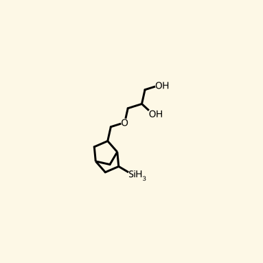 OCC(O)COCC1CC2CC([SiH3])C1C2